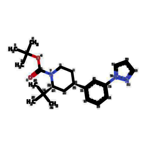 CC(C)(C)OC(=O)N1CC[C@H](c2cccc(-n3cccn3)c2)C[C@@H]1C(C)(C)C